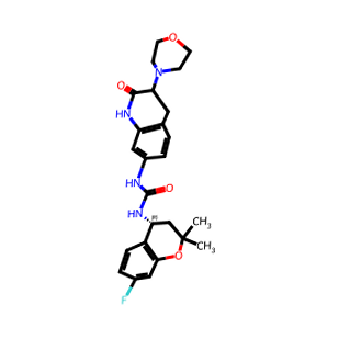 CC1(C)C[C@@H](NC(=O)Nc2ccc3c(c2)NC(=O)C(N2CCOCC2)C3)c2ccc(F)cc2O1